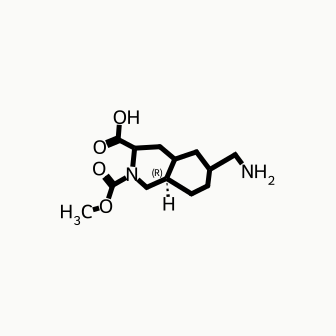 COC(=O)N1C[C@@H]2CCC(CN)CC2CC1C(=O)O